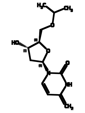 C=C1C=CN([C@H]2C[C@H](O)[C@@H](COC(C)C)O2)C(=O)N1